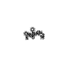 CN(Cc1cc(C(F)(F)F)ccc1Cl)C1CC(C(=O)N2CCN(c3ccccc3C#N)CC2)N(Cc2ccccc2)C1